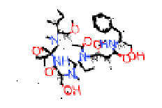 CC[C@H](C)[C@@H]([C@@H](CC(=O)N1CCC[C@H]1[C@H](OC)[C@@H](C)C(=O)N[C@H](CO)Cc1ccccc1)OC)N(C)CC(C=O)(NC(=O)[C@H](CO)N(C)CC)C(C)C